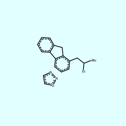 CCCCC(CC)Cc1cccc2c1Cc1ccccc1-2.c1conn1